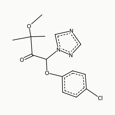 COC(C)(C)C(=O)C(Oc1ccc(Cl)cc1)n1cncn1